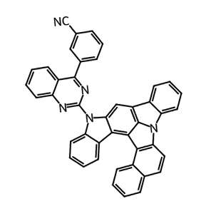 N#Cc1cccc(-c2nc(-n3c4ccccc4c4c5c6c7ccccc7ccc6n6c7ccccc7c(cc43)c56)nc3ccccc23)c1